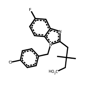 CC(C)(CC(=O)O)Cc1nc2cc(F)ccc2n1Cc1ccc(Cl)cc1